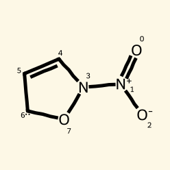 O=[N+]([O-])N1C=C[C]O1